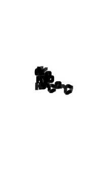 Cc1noc(C)c1C(=O)NC(=O)N(S)c1cccc(OCCc2ccccc2)c1